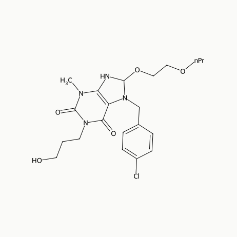 CCCOCCOC1Nc2c(c(=O)n(CCCO)c(=O)n2C)N1Cc1ccc(Cl)cc1